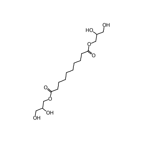 O=C(CCCCCCCCC(=O)OCC(O)CO)OCC(O)CO